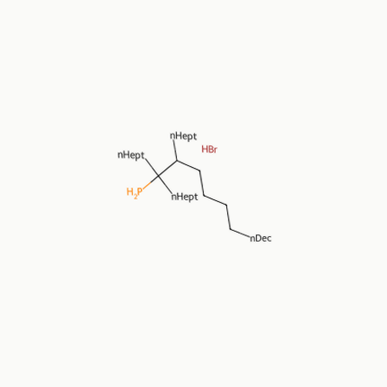 Br.CCCCCCCCCCCCCCC(CCCCCCC)C(P)(CCCCCCC)CCCCCCC